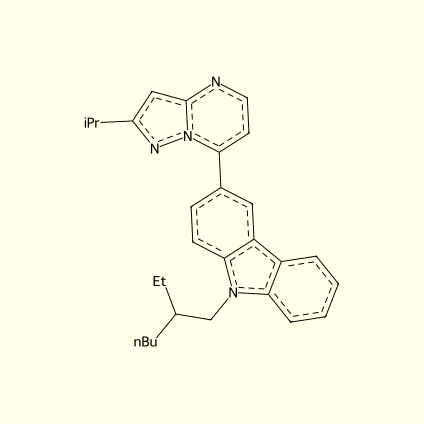 CCCCC(CC)Cn1c2ccccc2c2cc(-c3ccnc4cc(C(C)C)nn34)ccc21